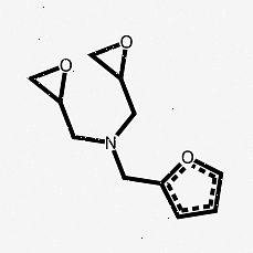 c1coc(CN(CC2CO2)CC2CO2)c1